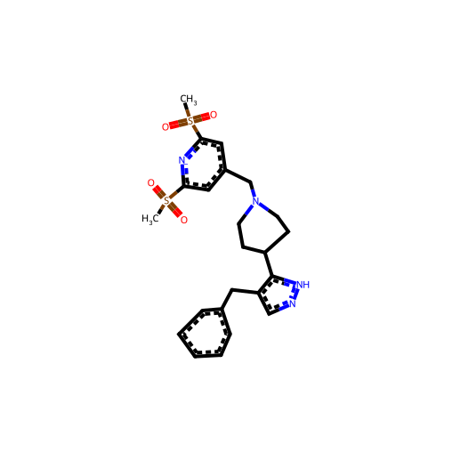 CS(=O)(=O)c1cc(CN2CCC(c3[nH]ncc3Cc3ccccc3)CC2)cc(S(C)(=O)=O)n1